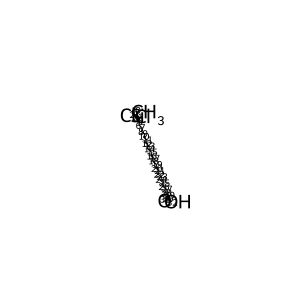 C[Si](Cl)(Cl)CCCCCCCCCCCCCCCCCCCCCCCCCCC(=O)O